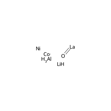 [AlH3].[Co].[LiH].[Ni].[O]=[La]